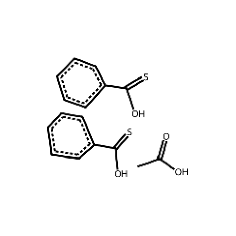 CC(=O)O.OC(=S)c1ccccc1.OC(=S)c1ccccc1